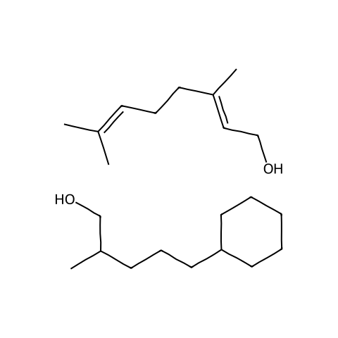 CC(C)=CCCC(C)=CCO.CC(CO)CCCC1CCCCC1